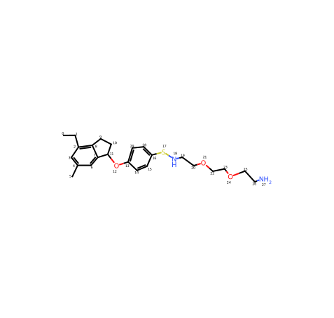 CCc1cc(C)cc2c1CCC2Oc1ccc(SNCCOCCOCCN)cc1